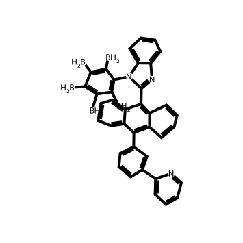 Bc1c(B)c(B)c(-n2c(-c3c4ccccc4c(-c4cccc(-c5ccccn5)c4)c4ccccc34)nc3ccccc32)c(B)c1B